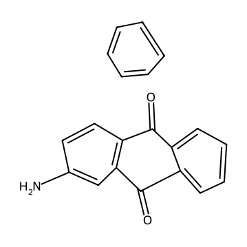 Nc1ccc2c(c1)C(=O)c1ccccc1C2=O.c1ccccc1